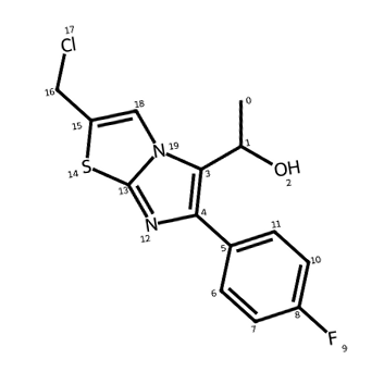 CC(O)c1c(-c2ccc(F)cc2)nc2sc(CCl)cn12